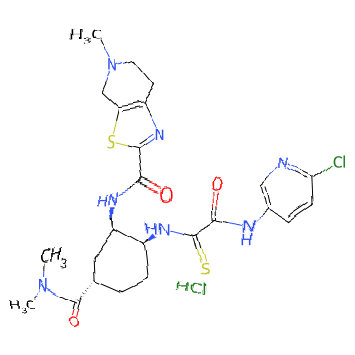 CN1CCc2nc(C(=O)N[C@@H]3C[C@@H](C(=O)N(C)C)CC[C@@H]3NC(=S)C(=O)Nc3ccc(Cl)nc3)sc2C1.Cl